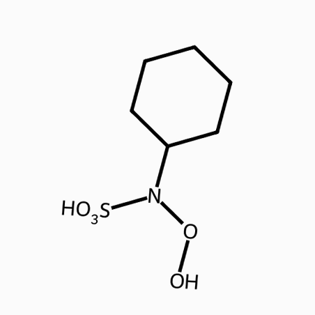 O=S(=O)(O)N(OO)C1CCCCC1